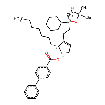 CC(C)(C)[Si](C)(C)O[C@@](C)(CCC1=CC[C@H](OC(=O)c2ccc(-c3ccccc3)cc2)[C@@H]1CCCCCCC(=O)O)C1CCCCC1